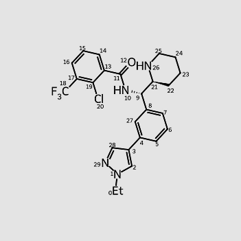 CCn1cc(-c2cccc([C@H](NC(=O)c3cccc(C(F)(F)F)c3Cl)[C@@H]3CCCCN3)c2)cn1